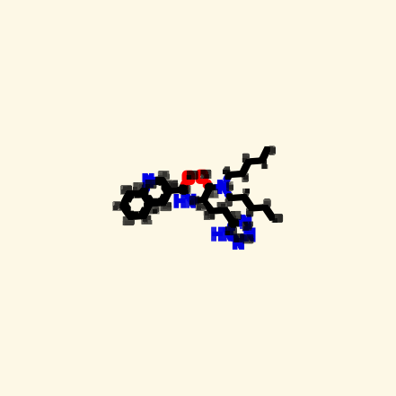 CCCCCN(CCCCC)C(=O)[C@@H](CCc1nnn[nH]1)NC(=O)c1cnc2ccccc2c1